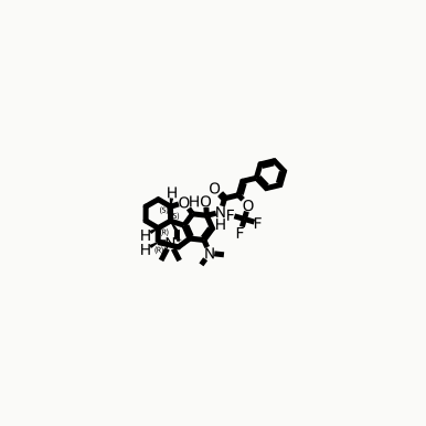 CN(C)C1=CC(O)(NC(=O)C(=Cc2ccccc2)OC(F)(F)F)C2O[C@H]3CCC[C@H]4[C@H]5CC1=C2[C@@]34CC[N+]5(C)C